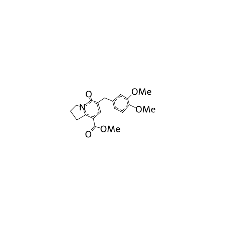 COC(=O)c1cc(Cc2ccc(OC)c(OC)c2)c(=O)n2c1CCC2